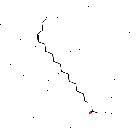 CC(=O)OCCCCCCCCCCCC/C=C\CCI